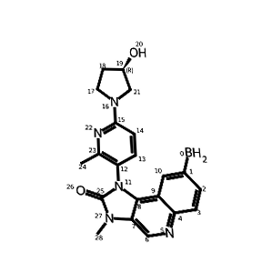 Bc1ccc2ncc3c(c2c1)n(-c1ccc(N2CC[C@@H](O)C2)nc1C)c(=O)n3C